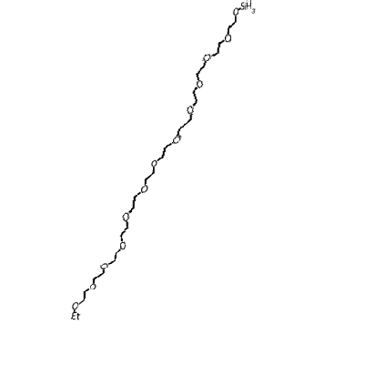 CCOCCOCCOCCOCCOCCOCCOCCOCCOCCOCCOCCOCCO[SiH3]